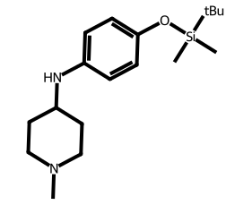 CN1CCC(Nc2ccc(O[Si](C)(C)C(C)(C)C)cc2)CC1